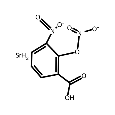 O=C(O)c1cccc([N+](=O)[O-])c1O[N+](=O)[O-].[SrH2]